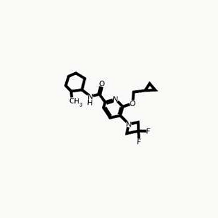 CC1CCCCC1NC(=O)c1ccc(N2CC(F)(F)C2)c(OCC2CC2)n1